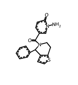 Nn1cc(C(=O)N2CCc3sccc3C2c2ccccc2)ccc1=O